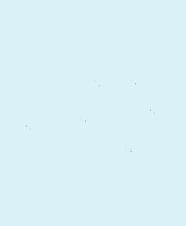 CN(C)CCn1cc(Br)c2c(N)ncnc21